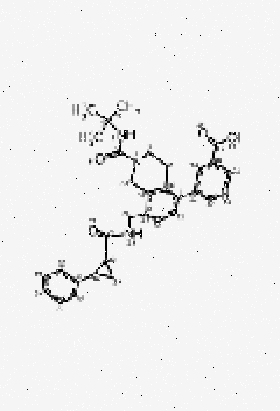 CC(C)(C)NC(=O)N1CCc2c(-c3cncc(C(=O)O)c3)ccc(CNC(=O)C3CC3c3ccccc3)c2C1